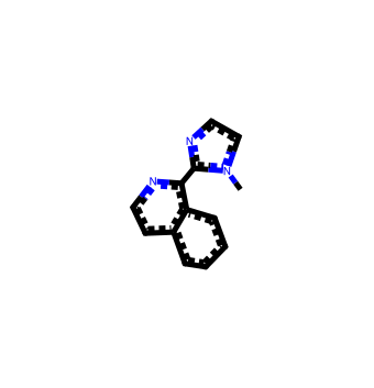 Cn1ccnc1-c1nccc2ccccc12